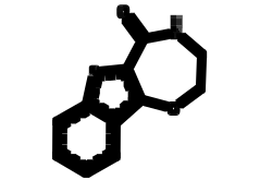 O=C1NCCOc2c1sc1ccccc21